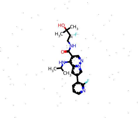 CC(C)Nc1c(C(=O)NC[C@@H](F)C(C)(C)O)cnn2cc(-c3cccnc3F)cc12